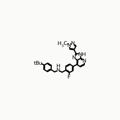 Cn1cc(-c2nc3c(-c4ccc(CNCc5ccc(C(C)(C)C)cc5)c(F)c4)ccnc3[nH]2)cn1